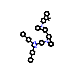 CC1(C)c2ccccc2-c2ccc(-n3c4ccccc4c4cc(-c5ccc6c7ccccc7n(-c7ccc(-c8nc(-c9ccc(-c%10ccccc%10)cc9)cc(-c9ccc(-c%10ccccc%10)cc9)n8)cc7)c6c5)ccc43)cc21